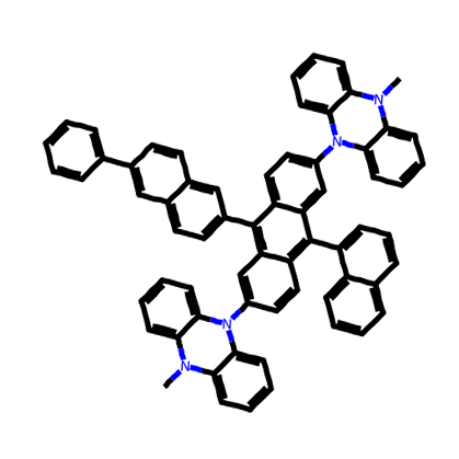 CN1c2ccccc2N(c2ccc3c(-c4cccc5ccccc45)c4cc(N5c6ccccc6N(C)c6ccccc65)ccc4c(-c4ccc5cc(-c6ccccc6)ccc5c4)c3c2)c2ccccc21